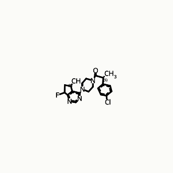 C[C@@H]1CC(F)c2ncnc(N3CCN(C(=O)[C@@H](C)c4ccc(Cl)cc4)CC3)c21